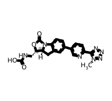 Cn1nnnc1-c1ccc(-c2ccc3c(c2)C[C@H]2[C@H](CNC(=O)O)OC(=O)N32)cn1